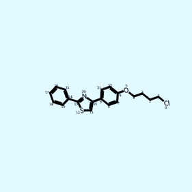 ClCCCCOc1ccc(-c2csc(-c3ccccc3)n2)cc1